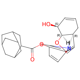 CN1CC[C@@]23CC=C[C@H](O)[C@@H]2Oc2c(OC(=O)C4CC5CC6CC5CC4C6)ccc(c23)C1